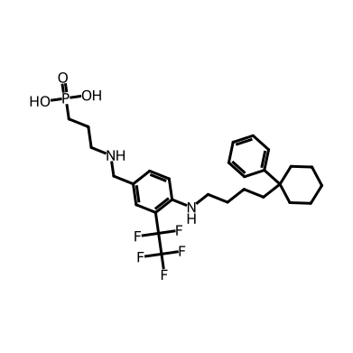 O=P(O)(O)CCCNCc1ccc(NCCCCC2(c3ccccc3)CCCCC2)c(C(F)(F)C(F)(F)F)c1